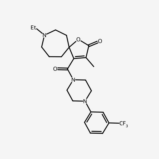 CCN1CCCC2(CC1)OC(=O)C(C)=C2C(=O)N1CCN(c2cccc(C(F)(F)F)c2)CC1